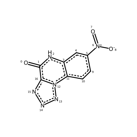 O=c1[nH]c2cc([N+](=O)[O-])ccc2n2nnnc12